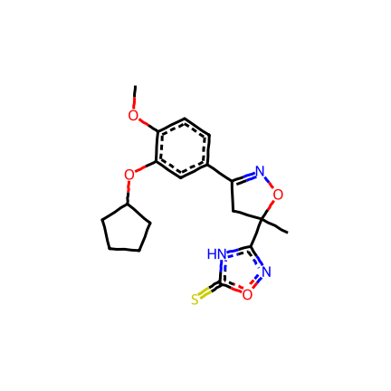 COc1ccc(C2=NOC(C)(c3noc(=S)[nH]3)C2)cc1OC1CCCC1